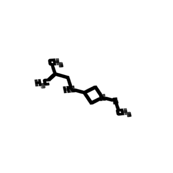 CSN1CC(NCC(C)C)C1